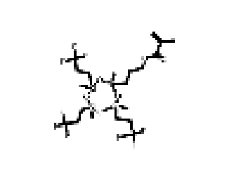 C=C(C)C(=O)OCCC[Si]1(C)O[Si](C)(CCC(F)(F)F)O[Si](C)(CCC(F)(F)F)O[Si](C)(CCC(F)(F)F)O1